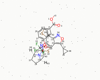 COC(=O)c1csc(-c2csc(N3[C@@H]4CC[C@H]3C[C@H](OCc3c(-c5ccccc5OC(F)(F)F)noc3C3CC3)C4)n2)c1